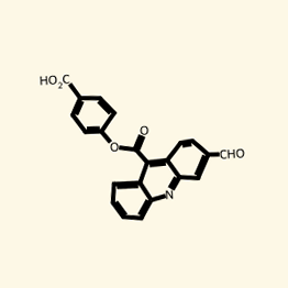 O=Cc1ccc2c(C(=O)Oc3ccc(C(=O)O)cc3)c3ccccc3nc2c1